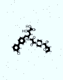 O=C(NC(Cc1ccc(-c2cccc(Cl)c2)cc1)CC(O)C(=O)O)C(=O)N1CCN(C(=O)c2ccco2)CC1